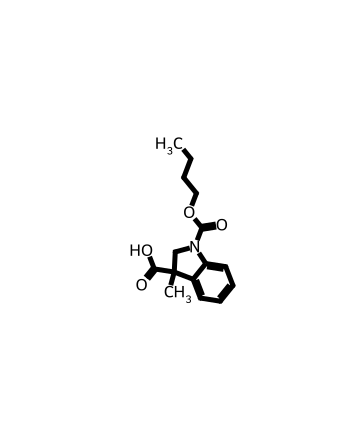 CCCCOC(=O)N1CC(C)(C(=O)O)c2ccccc21